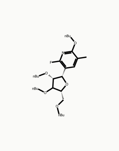 CCCCOC[C@H]1O[C@@H](c2cc(C)c(OCCCC)nc2F)[C@@H](OCCCC)C1OCCCC